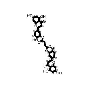 O=C(CCC(=O)Oc1cc(-c2cc(=O)c3c(O)cc(O)cc3o2)ccc1O)Oc1cc(-c2cc(=O)c3c(O)cc(O)cc3o2)ccc1O